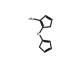 CCCCC1=[C]([Zr][C]2=CC=CC2)CC=C1